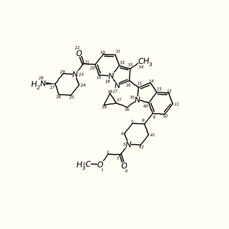 COCC(=O)N1CCC(c2cccc3cc(-c4nn5cc(C(=O)N6CCC[C@@H](N)C6)ccc5c4C)n(CC4CC4)c23)CC1